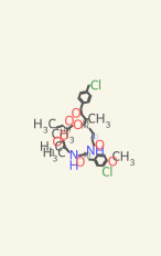 COc1ccc(C[C@H]2NC(=O)/C=C/C[C@@H]([C@H](C)C3OC3c3ccc(CCl)cc3)OC(=O)[C@H](CC(C)C)OC(=O)C(C)(C)CNC2=O)cc1Cl